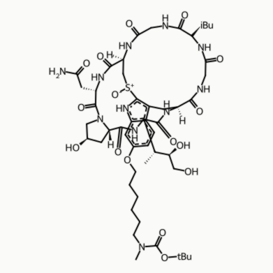 CC[C@H](C)C1NC(=O)CNC(=O)[C@@H]2Cc3c([nH]c4cc(OCCCCCCN(C)C(=O)OC(C)(C)C)ccc34)[S+]([O-])C[C@H](NC(=O)CNC1=O)C(=O)N[C@@H](CC(N)=O)C(=O)N1C[C@H](O)C[C@H]1C(=O)NC([C@@H](C)[C@@H](O)CO)C(=O)N2